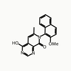 COc1ccc2ccccc2c1-n1c(C)cc2c(O)ncnc2c1=O